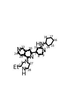 CCC1CN(c2nc(-c3ccnc(NC4CCCCC4)c3)cc3cnccc23)CCN1